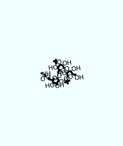 CNC(=O)OCC1O[C@@H](OCC2O[C@@H](OC3C(O)[C@H](OC(C)(C)C)OC(CO)[C@H]3O)C(O)C(OC(C)(C)C)[C@@H]2O)C(O)C(O)[C@@H]1O